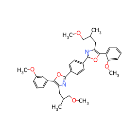 COCC(C)Cc1nc(-c2ccc(-c3nc(CC(C)COC)c(-c4ccccc4OC)o3)cc2)oc1-c1cccc(OC)c1